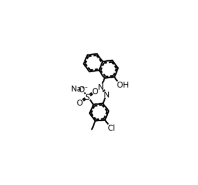 Cc1cc(S(=O)(=O)[O-])c(N=Nc2c(O)ccc3ccccc23)cc1Cl.[Na+]